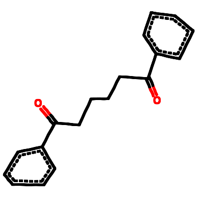 O=C(CCCCC(=O)c1ccccc1)c1ccccc1